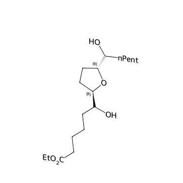 CCCCCC(O)[C@H]1CC[C@H](C(O)CCCCC(=O)OCC)O1